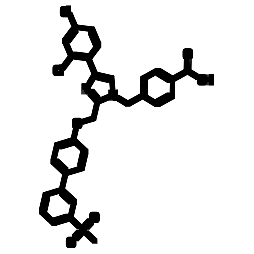 CS(=O)(=O)c1cccc(-c2ccc(OCc3nc(-c4ccc(Cl)cc4Cl)cn3Cc3ccc(C(=O)O)cc3)cc2)c1